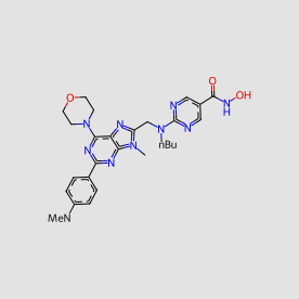 CCCCN(Cc1nc2c(N3CCOCC3)nc(-c3ccc(NC)cc3)nc2n1C)c1ncc(C(=O)NO)cn1